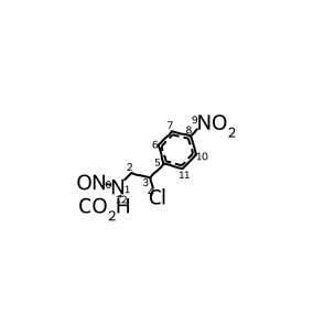 O=NN(CC(Cl)c1ccc([N+](=O)[O-])cc1)C(=O)O